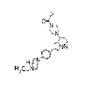 CCN1CC2[C@H]1CN2c1ccc(C2=CN3N=CCC(N4CCN(C(=O)C5CC5)CC4)C3C2)cc1